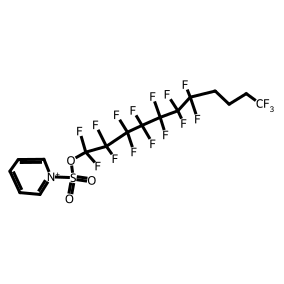 O=S(=O)(OC(F)(F)C(F)(F)C(F)(F)C(F)(F)C(F)(F)C(F)(F)C(F)(F)CCCC(F)(F)F)[n+]1ccccc1